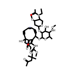 CCN(C(C)=O)C1COC(OC2C(OC3C#C/C=C\C#CC4(O)CC(=O)C(NC(=O)OC)=C3/C4=C\CSSC(C)(C)CC(C)=O)OC(C)C(NOC)C2O)CC1OC